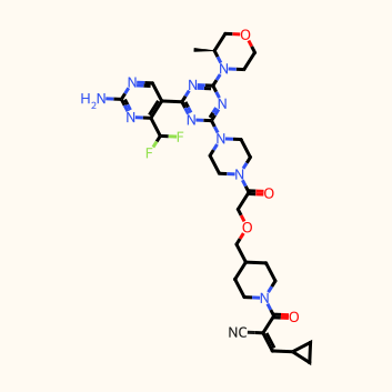 C[C@H]1COCCN1c1nc(-c2cnc(N)nc2C(F)F)nc(N2CCN(C(=O)COCC3CCN(C(=O)/C(C#N)=C\C4CC4)CC3)CC2)n1